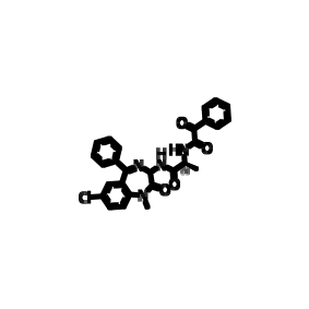 C[C@H](NC(=O)C(=O)c1ccccc1)C(=O)NC1N=C(c2ccccc2)c2cc(Cl)ccc2N(C)C1=O